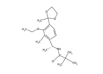 CCOc1c(C2(C)OCCO2)ccc([C@@H](C)N[S+]([O-])C(C)(C)C)c1C